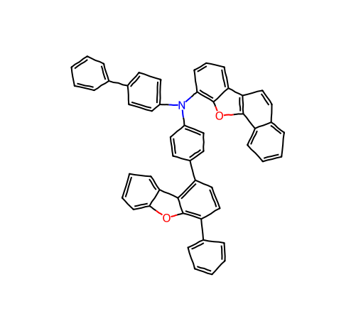 c1ccc(-c2ccc(N(c3ccc(-c4ccc(-c5ccccc5)c5oc6ccccc6c45)cc3)c3cccc4c3oc3c5ccccc5ccc43)cc2)cc1